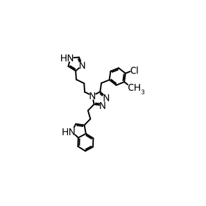 Cc1cc(Cc2nnc(CCc3c[nH]c4ccccc34)n2CCCc2c[nH]cn2)ccc1Cl